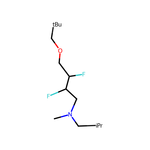 CC(C)CN(C)CC(F)C(F)COCC(C)(C)C